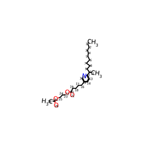 CCCCCCCCCCC(C)c1ccc(CCCCC(=O)OCCCOC(C)=O)cn1